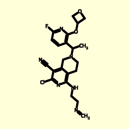 C=NCCNc1nc(Cl)c(C#N)c2c1CCN(C(C)c1ccc(F)nc1OC1COC1)C2